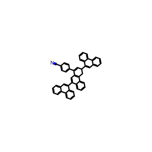 N#Cc1ccc(C2=CC(c3cc4ccccc4c4ccccc34)Cc3c2cc(-c2cc4ccccc4c4ccccc24)c2ccccc32)cc1